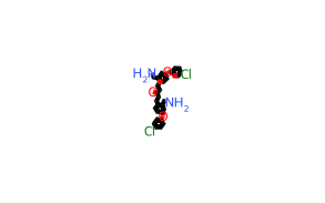 NCc1cc(Oc2ccc(Cl)cc2)ccc1CCC(=O)CCc1ccc(Oc2ccc(Cl)cc2)cc1CN